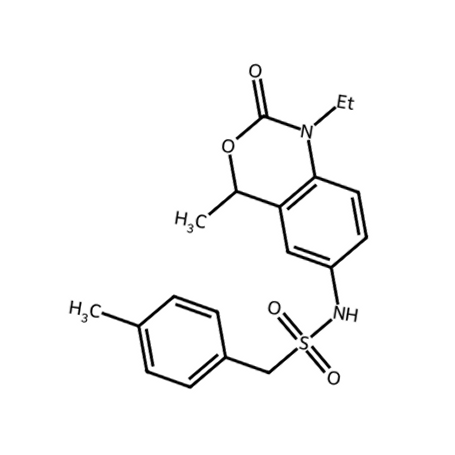 CCN1C(=O)OC(C)c2cc(NS(=O)(=O)Cc3ccc(C)cc3)ccc21